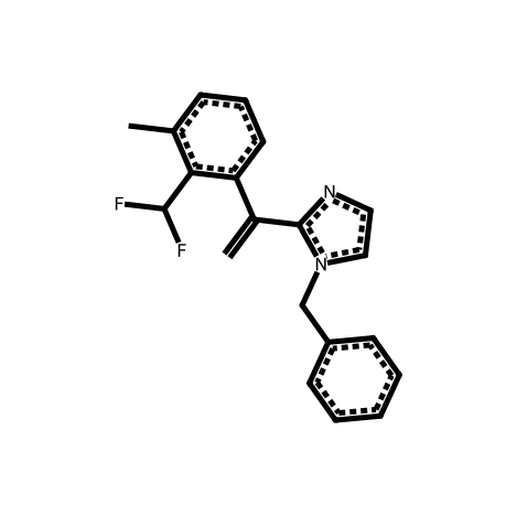 C=C(c1cccc(C)c1C(F)F)c1nccn1Cc1ccccc1